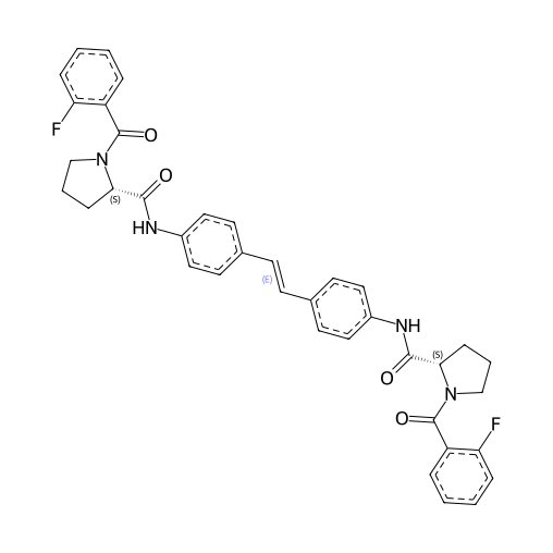 O=C(Nc1ccc(/C=C/c2ccc(NC(=O)[C@@H]3CCCN3C(=O)c3ccccc3F)cc2)cc1)[C@@H]1CCCN1C(=O)c1ccccc1F